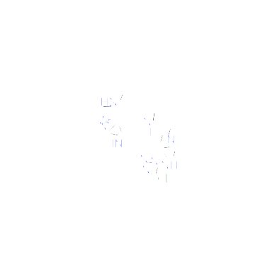 C=C(CCC1=Cc2cc(Nc3nc(N4CC5CCC(Nc6ccc7c(C8CCC(=C)NC8=C)nn(C)c7c6)CC5C4)ncc3Cl)ccc2N(C)C1=C)NC